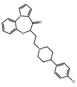 O=C1c2cccn2-c2ccccc2OC1CCN1CCC(c2ccc(Cl)cc2)CC1